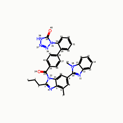 CCCc1nc2c(C)cc(-c3nc4ccccc4n3C)cc2n1C(=O)c1ccc(-c2ccccc2-n2nn[nH]c2=O)cc1